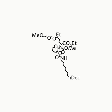 CCCCCCCCCCCCCCCCCNC(=O)O[C@@H]1CCCO[C@H]1N(C(=O)OC)C(CCC(CC)OCOCCOC)C(=O)OCC